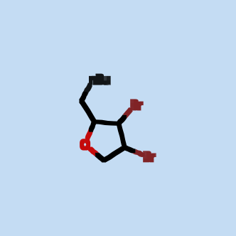 CCCCCC1OCC(Br)C1Br